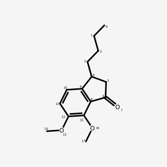 CCCCC1CC(=O)c2c1ccc(OC)c2OC